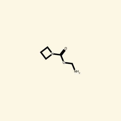 NCOC(=O)N1CCC1